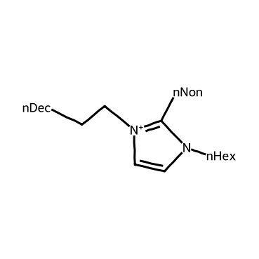 CCCCCCCCCCCC[n+]1ccn(CCCCCC)c1CCCCCCCCC